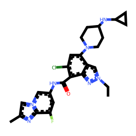 CCn1cc2c(N3CCC(NC4CC4)CC3)cc(Cl)c(C(=O)Nc3cc(F)c4nc(C)cn4c3)c2n1